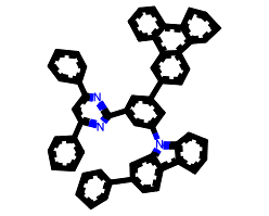 c1ccc(-c2ccc3c4ccccc4n(-c4cc(-c5ccc6c7ccccc7c7ccccc7c6c5)cc(-c5nc(-c6ccccc6)cc(-c6ccccc6)n5)c4)c3c2)cc1